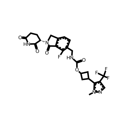 Cn1ncc(C(F)(F)F)c1C1CC(OC(=O)NCc2ccc3c(c2F)C(=O)N([C@H]2CCC(=O)NC2=O)C3)C1